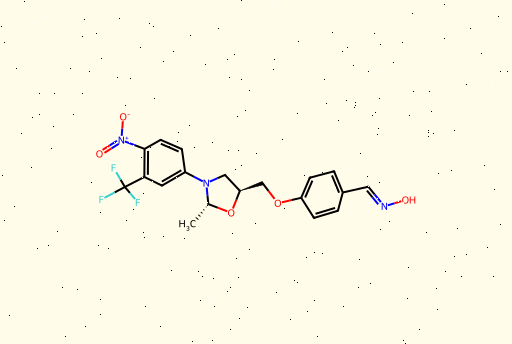 C[C@H]1O[C@H](COc2ccc(/C=N/O)cc2)CN1c1ccc([N+](=O)[O-])c(C(F)(F)F)c1